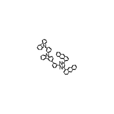 c1cc(-c2ccc3c(c2)c2ccccc2n3-c2cccc(-n3c4ccccc4c4ccccc43)c2)cc(-c2nc(-c3cccc4cc5ccccc5cc34)cc(-c3cccc4cc5ccccc5cc34)n2)c1